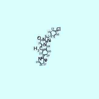 Cc1cc(=O)n2cc(-c3ccc(Cl)cc3)nc2n1Cc1ccc(-c2ncccn2)cc1